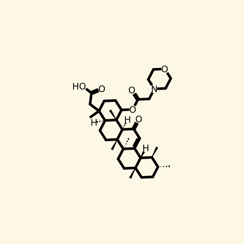 C[C@H]1[C@H](C)CC[C@]2(C)CC[C@]3(C)C(=CC(=O)[C@@H]4[C@@]5(C)C(OC(=O)CN6CCOCC6)CCC(C)(CC(=O)O)[C@@H]5CC[C@]43C)[C@H]12